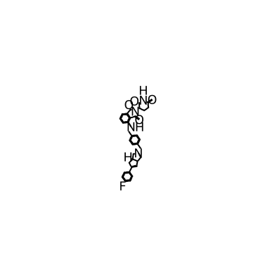 O=C1CCC(N2C(=O)c3cccc(NCc4ccc(CN5CC6C=C(c7ccc(F)cc7)C[C@H]6C5)cc4)c3C2=O)C(=O)N1